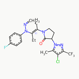 C=NN(/C(CC)=C(\C)N1CCC(n2nc(C(F)(F)F)c(Cl)c2C)C1=O)c1ccc(F)cc1